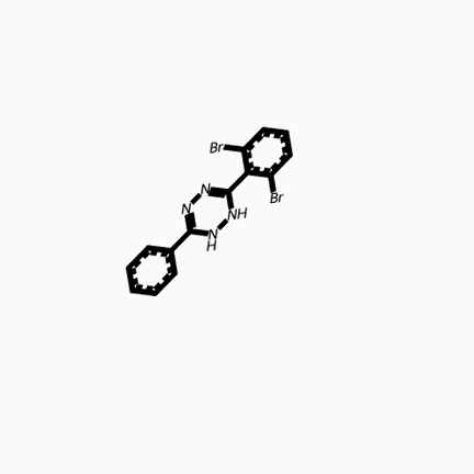 Brc1cccc(Br)c1C1=NN=C(c2ccccc2)NN1